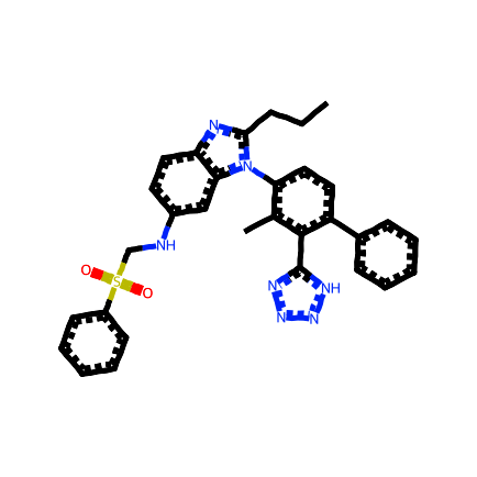 CCCc1nc2ccc(NCS(=O)(=O)c3ccccc3)cc2n1-c1ccc(-c2ccccc2)c(-c2nnn[nH]2)c1C